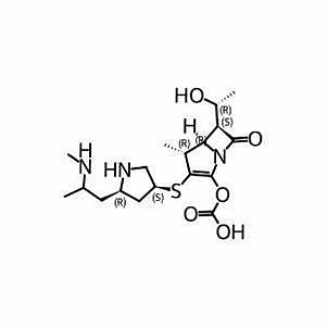 CNC(C)C[C@@H]1C[C@H](SC2=C(OC(=O)O)N3C(=O)[C@H]([C@@H](C)O)[C@@H]3[C@H]2C)CN1